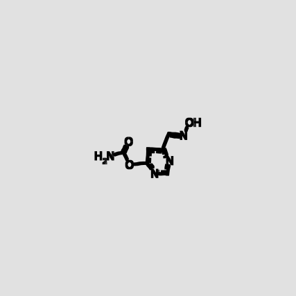 NC(=O)Oc1cc(C=NO)ncn1